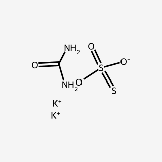 NC(N)=O.O=S([O-])([O-])=S.[K+].[K+]